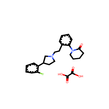 O=C(O)C(=O)O.O=C1CCCCN1c1ccccc1CCN1CCC(c2ccccc2F)C1